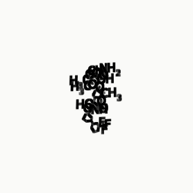 CO[C@@H]1[C@@H](OC(N)=O)[C@@H](O)[C@H](Oc2ccc3c(O)c(NC(=O)c4cccc(-c5cccc(C(F)(F)F)c5)c4)c(=O)oc3c2C)OC1(C)C